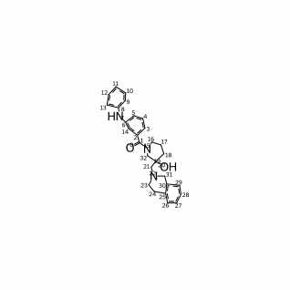 O=C(c1cccc(Nc2ccccc2)c1)N1CCCC(O)(CN2CCc3ccccc3C2)C1